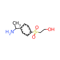 CC(N)c1ccc(S(=O)(=O)CCO)cc1